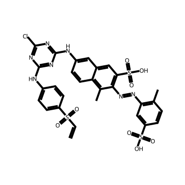 C=CS(=O)(=O)c1ccc(Nc2nc(Cl)nc(Nc3ccc4c(C)c(N=Nc5cc(S(=O)(=O)O)ccc5C)c(S(=O)(=O)O)cc4c3)n2)cc1